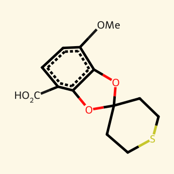 COc1ccc(C(=O)O)c2c1OC1(CCSCC1)O2